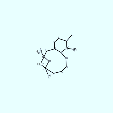 CC(C)N1C(C)CCC2CC3(N)BC(C(C)C)(CCCCC21)C3